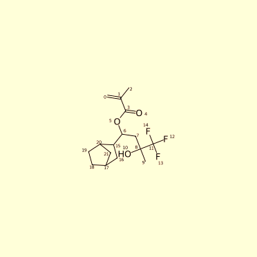 C=C(C)C(=O)OC(CC(C)(O)C(F)(F)F)C1CC2CCC1C2